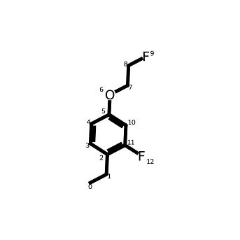 CCc1ccc(OCCF)cc1F